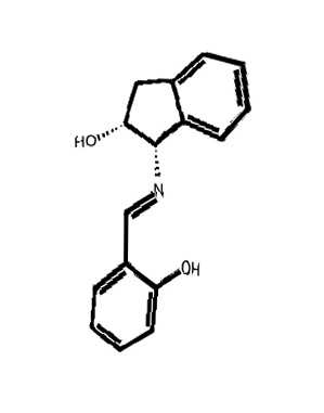 Oc1ccccc1/C=N/[C@H]1c2ccccc2C[C@H]1O